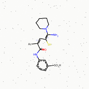 CC(=O)/C(=C/C(S)=C(/N)N1CCCCC1)C(=O)Nc1cccc(S(=O)(=O)O)c1